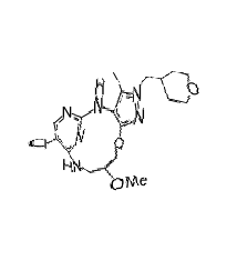 COC1CNc2nc(ncc2Cl)Nc2c(nn(CC3CCOCC3)c2C)OC1